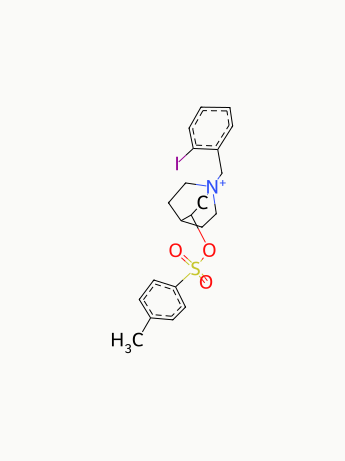 Cc1ccc(S(=O)(=O)OC2C[N+]3(Cc4ccccc4I)CCC2CC3)cc1